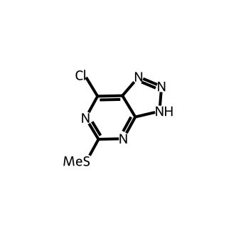 CSc1nc(Cl)c2nn[nH]c2n1